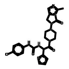 Cc1ncc2n1C(=O)N(N1CCN(C(=O)C(NC(=O)Nc3ccc(Cl)cc3)c3cccs3)CC1)C2